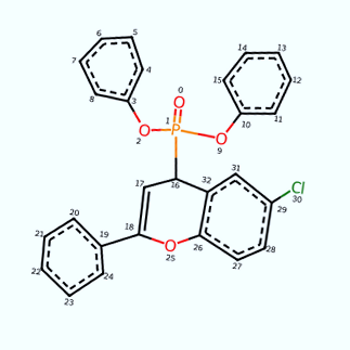 O=P(Oc1ccccc1)(Oc1ccccc1)C1C=C(c2ccccc2)Oc2ccc(Cl)cc21